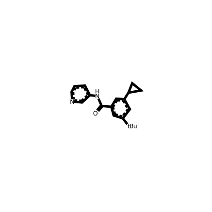 CC(C)(C)c1cc(C(=O)Nc2cccnc2)cc(C2CC2)c1